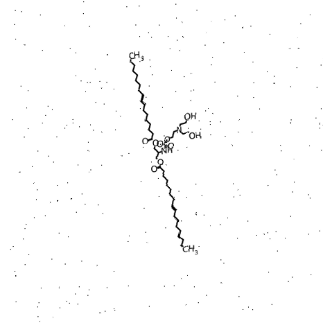 CCCCCCCCC=CCCCCCCCC(=O)OCC(COC(=O)CCCCCCCC=CCCCCCCCC)NS(=O)(=O)OCCN(CCO)CCO